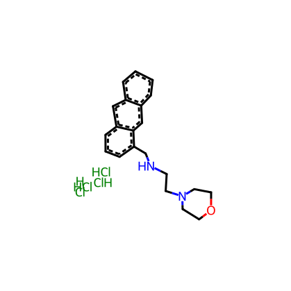 Cl.Cl.Cl.Cl.c1ccc2cc3c(CNCCN4CCOCC4)cccc3cc2c1